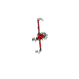 CCCCCCCCCCCCCCCCCCCCOC(=O)C(Cc1cc(C(C)(C)C)c(O)c(C)c1C)(Cc1cc(C(C)(C)C)c(O)c(C)c1C)C(=O)OCCCCCCCCCCCCCCCCCCCC